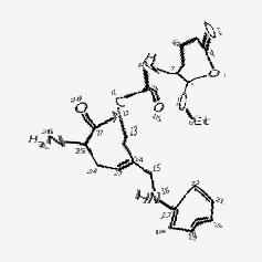 CCOC1OC(=O)CC1NC(=O)CN1CC(CNc2ccccc2)=CCC(N)C1=O